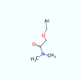 CC(=O)COCC(=O)N(C)C